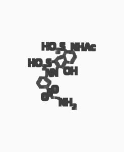 CC(=O)Nc1ccc2c(O)c(N=Nc3cccc(S(=O)(=O)CCN)c3)c(S(=O)(=O)O)cc2c1S(=O)(=O)O